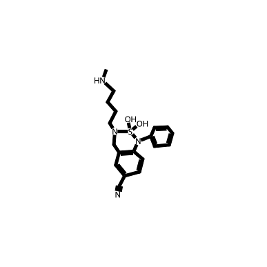 CNCCCCN1Cc2cc(C#N)ccc2N(c2ccccc2)S1(O)O